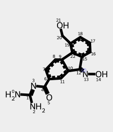 NC(N)=NC(=O)c1ccc2c(c1)/C(=N/O)c1cccc(CO)c1-2